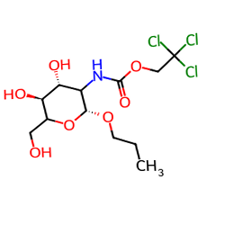 CCCO[C@@H]1OC(CO)[C@@H](O)[C@H](O)C1NC(=O)OCC(Cl)(Cl)Cl